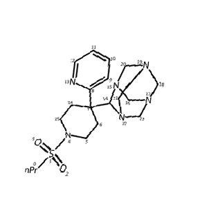 CCCS(=O)(=O)N1CCC(c2ccccn2)(C2N3CN4CN(C3)CN2C4)CC1